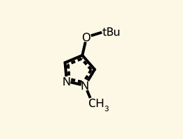 Cn1cc(OC(C)(C)C)cn1